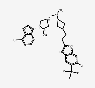 CN(C[C@@H]1C[C@@H](O)[C@H](n2ccc3c(N)ncnc32)C1)C1CC(CCc2nc3cc(Cl)c(C(F)(F)F)cc3[nH]2)C1